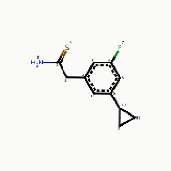 NC(=S)Cc1cc(F)cc(C2CC2)c1